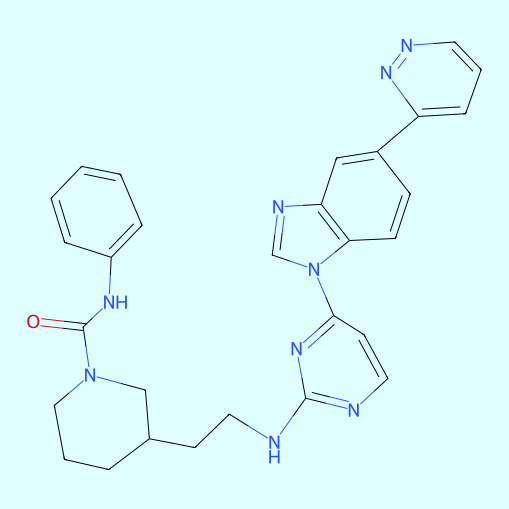 O=C(Nc1ccccc1)N1CCCC(CCNc2nccc(-n3cnc4cc(-c5cccnn5)ccc43)n2)C1